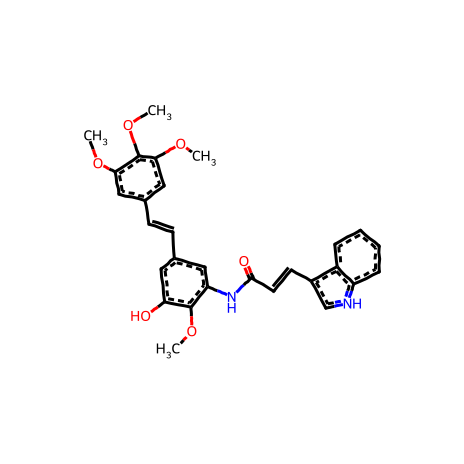 COc1cc(/C=C/c2cc(O)c(OC)c(NC(=O)/C=C/c3c[nH]c4ccccc34)c2)cc(OC)c1OC